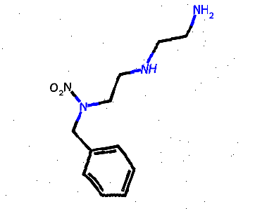 NCCNCCN(Cc1ccccc1)[N+](=O)[O-]